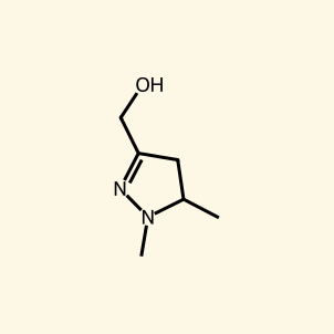 CC1CC(CO)=NN1C